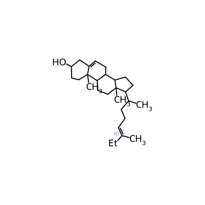 CC/C(C)=C/CCC(C)C1CCC2C3CC=C4CC(O)CCC4(C)C3CCC12C